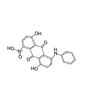 O=C1c2c(O)ccc([N+](=O)O)c2C(=O)c2c(O)ccc(Nc3ccccc3)c21